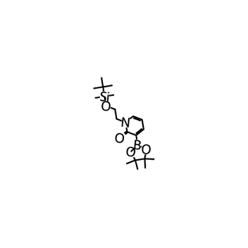 CC1(C)OB(c2cccn(CCO[Si](C)(C)C(C)(C)C)c2=O)OC1(C)C